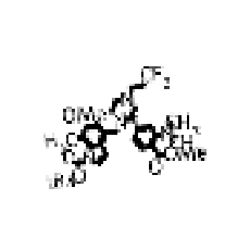 COC(=O)c1ccc([C@H]2CN(CCC(F)(F)F)CCN2Cc2c(OC)cc(C)c3c2ccn3C(=O)OC(C)(C)C)cc1N(C)C